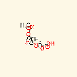 CCS(=O)(=O)CCCOc1cc(C)c2c(c1)CCOc1ccc(COc3ccc4c(c3)OC[C@H]4CC(=O)O)cc1-2